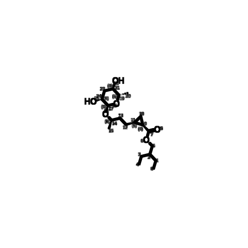 CCC(CC)COC(=O)[C@@H]1C[C@@H]1CC[C@@H](C)O[C@@H]1O[C@@H](C)[C@H](O)C[C@H]1O